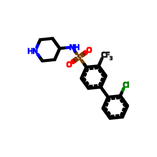 O=S(=O)(NC1CCNCC1)c1ccc(-c2ccccc2Cl)cc1C(F)(F)F